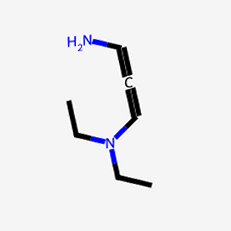 CCN(C=C=CN)CC